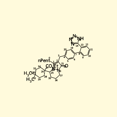 CCCCCc1c(Cc2ccc(-c3ccccc3-c3nnn[nH]3)cc2)c(=O)n2n1C(C1(C(=O)OCC)CCC(C)(C)CC1)CCC2